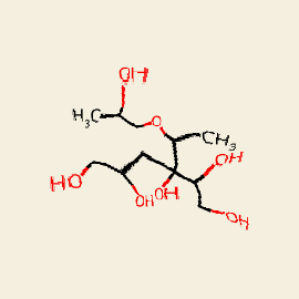 CC(O)COC(C)C(O)(CC(O)CO)C(O)CO